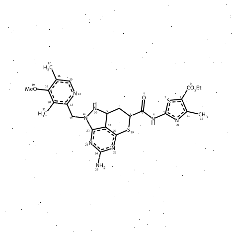 CCOC(=O)c1sc(NC(=O)C2CC3NN(Cc4ncc(C)c(OC)c4C)c4nc(N)nc(c43)S2)nc1C